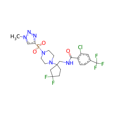 Cn1cc(S(=O)(=O)N2CCN(C3(CNC(=O)c4ccc(C(F)(F)F)cc4Cl)CCC(F)(F)C3)CC2)nn1